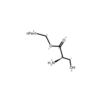 CCCCCCOC(=O)[C@H](N)CO